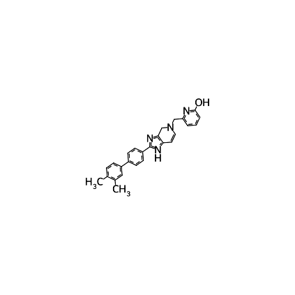 Cc1ccc(-c2ccc(-c3nc4c([nH]3)C=CN(Cc3cccc(O)n3)C4)cc2)cc1C